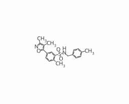 Cc1ccc(CNS(=O)(=O)c2cc(-c3onc(C)c3C)ccc2C)cc1